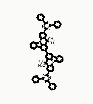 CC1(C)c2cc(-c3nc(-c4ccccc4)nc(-c4ccccc4)n3)ccc2-n2c3ccccc3c3cc(-c4cc5c6c(c4)c4ccccc4n6-c4ccc(-c6nc(-c7ccccc7)nc(-c7ccccc7)n6)cc4C5(C)C)cc1c32